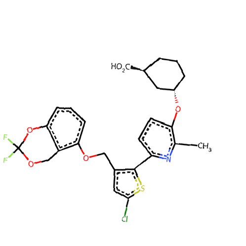 Cc1nc(-c2sc(Cl)cc2COc2cccc3c2COC(F)(F)O3)ccc1O[C@H]1CCC[C@H](C(=O)O)C1